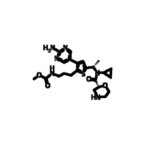 COC(=O)NCCCc1sc([C@H](C)N(C(=O)[C@H]2CNCCO2)C2CC2)cc1-c1cnc(N)nc1